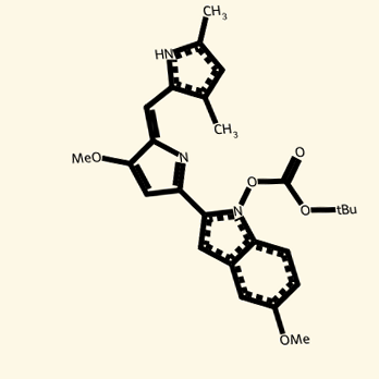 COC1=CC(c2cc3cc(OC)ccc3n2OC(=O)OC(C)(C)C)=NC1=Cc1[nH]c(C)cc1C